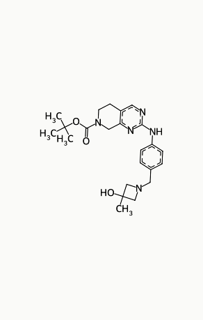 CC1(O)CN(Cc2ccc(Nc3ncc4c(n3)CN(C(=O)OC(C)(C)C)CC4)cc2)C1